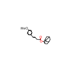 COc1ccc(C=CCC(=O)OC2C3CC4CC(C3)CC2C4)cc1